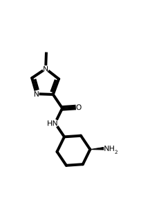 Cn1cnc(C(=O)NC2CCC[C@H](N)C2)c1